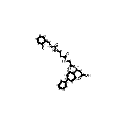 O=C(O)CC(NC(=O)CNC(=O)CCNC(=O)NCc1ccccc1Cl)c1ccc(-c2ccccc2)cc1